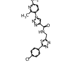 Cc1ccc(-n2cc(C(=O)NCc3nnc(-c4ccc(Cl)cc4)s3)nn2)c(C)n1